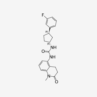 CN1C(=O)CCc2c(NC(=O)N[C@@H]3CC[C@@H](c4cccc(F)c4)C3)cccc21